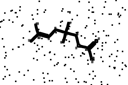 CCC(=O)OCC(C)(C)CC=C(C)C